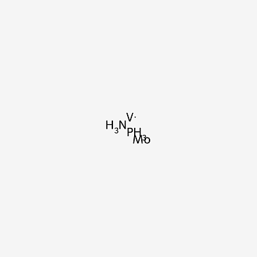 N.P.[Mo].[V]